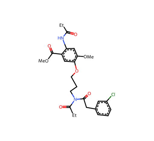 CCC(=O)Nc1cc(OC)c(OCCCN(C(=O)CC)C(=O)Cc2cccc(Cl)c2)cc1C(=O)OC